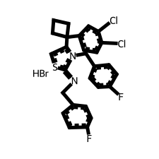 Br.Fc1ccc(CN=c2scc(C3(c4ccc(Cl)c(Cl)c4)CCC3)n2Cc2ccc(F)cc2)cc1